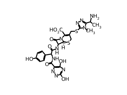 CC(N)c1nnc(SCC2=C(C(=O)O)N3C(=O)C(NC(=O)C(NC(=O)c4nnc(O)nc4O)c4ccc(O)cc4)[C@@H]3SC2)n1C